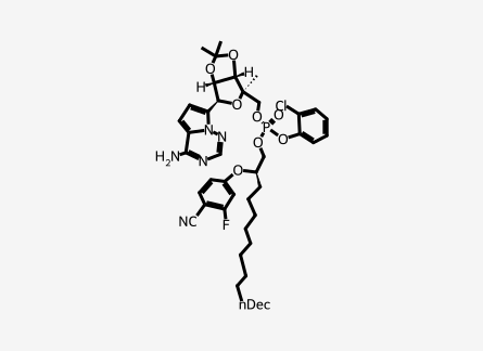 CCCCCCCCCCCCCCCCCC[C@H](COP(=O)(OC[C@@]1(C)O[C@@H](c2ccc3c(N)ncnn23)[C@@H]2OC(C)(C)O[C@@H]21)Oc1ccccc1Cl)Oc1ccc(C#N)c(F)c1